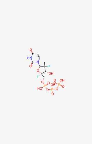 C[C@]1(F)C(n2ccc(=O)[nH]c2=O)O[C@](F)(COP(=O)(O)OP(=O)(O)OP(=O)(O)O)[C@H]1O